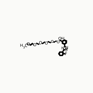 COCCOCCOCCOCCOCCOC(O)c1cccc(-c2noc(-c3ccccc3F)n2)c1